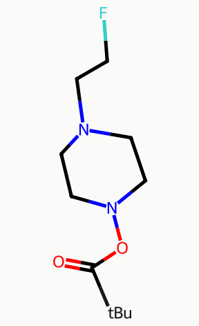 CC(C)(C)C(=O)ON1CCN(CCF)CC1